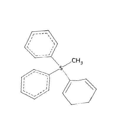 CS(C1=CCCC=C1)(c1ccccc1)c1ccccc1